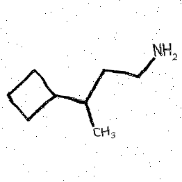 CC(CCN)C1CCC1